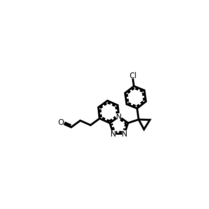 O=CCCc1cccn2c(C3(c4ccc(Cl)cc4)CC3)nnc12